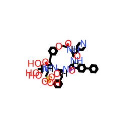 O=C1COc2ccc(cc2)C[C@@H](C(=O)N(CCS(=O)(=O)O)C(CO)(CO)CO)NC(=O)[C@H](CCc2ccccc2)NC(=O)[C@@H](Cc2ccc(-c3ccccc3)cc2)NC(=O)[C@H](Cc2ccncc2)N1